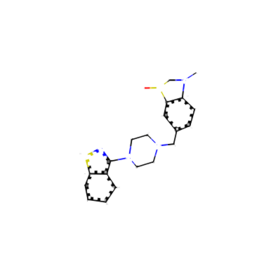 CN1C[S+]([O-])c2cc(CN3CCN(c4nsc5ccccc45)CC3)ccc21